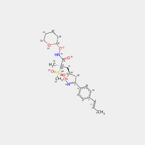 C/C=C/c1ccc(C2=NO[C@@H](C[C@](C)(C(=O)NOC3CCCCO3)S(C)(=O)=O)C2)cc1